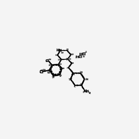 Cl.Cl.NC1CCC(CCN2CCNCC2c2cccc(Cl)c2Cl)CC1